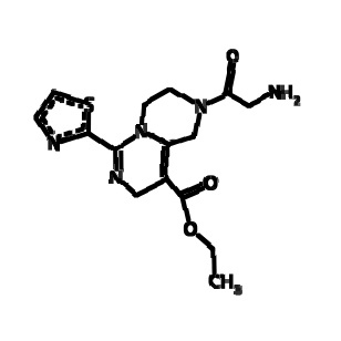 CCOC(=O)C1=C2CN(C(=O)CN)CCN2C(c2nccs2)=NC1